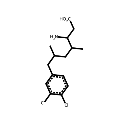 CC(Cc1ccc(Cl)c(Cl)c1)CC(C)C(N)CC(=O)O